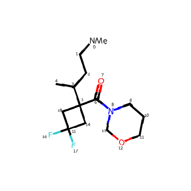 CNCCC(C)C1(C(=O)N2CCCOC2)CC(F)(F)C1